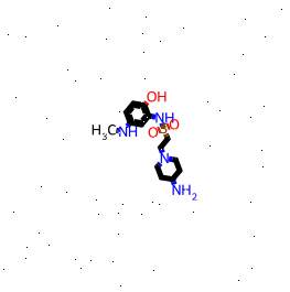 CNc1ccc(O)c(NS(=O)(=O)CCN2CCC(N)CC2)c1